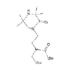 CC(C)(C)CN(CCN1CC(C)(C)NC(C)(C)C1=O)C(=O)C(C)(C)C